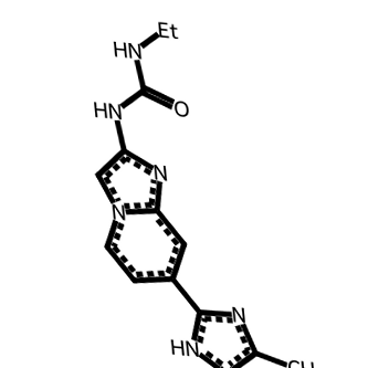 CCNC(=O)Nc1cn2ccc(-c3nc(C)n[nH]3)cc2n1